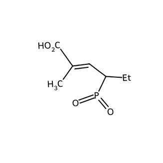 CCC(C=C(C)C(=O)O)P(=O)=O